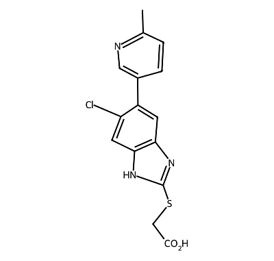 Cc1ccc(-c2cc3nc(SCC(=O)O)[nH]c3cc2Cl)cn1